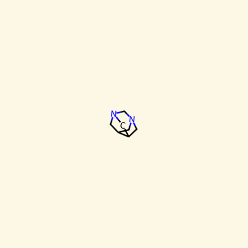 C1C2CN3CC2CN1C3